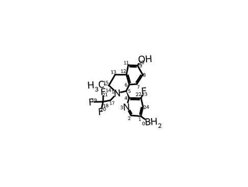 Bc1cnc([C@@H]2c3ccc(O)cc3C[C@@H](C)N2CC(F)(F)F)c(F)c1